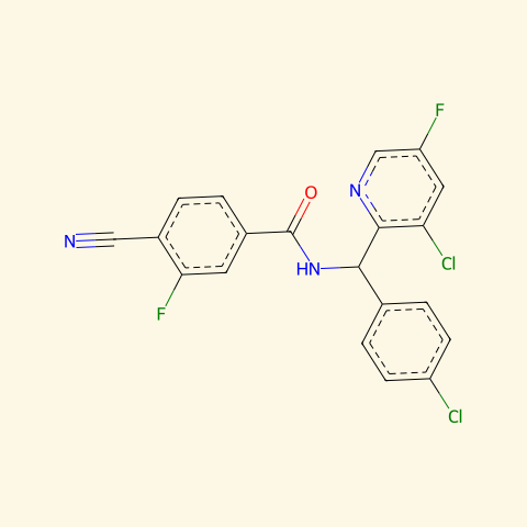 N#Cc1ccc(C(=O)NC(c2ccc(Cl)cc2)c2ncc(F)cc2Cl)cc1F